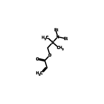 C=CC(=O)OC[Si](C)(C)N(CC)CC